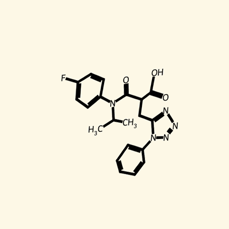 CC(C)N(C(=O)C(Cc1nnnn1-c1ccccc1)C(=O)O)c1ccc(F)cc1